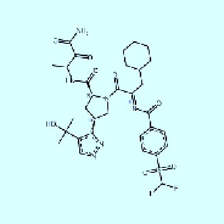 CC(NC(=O)[C@@H]1C[C@H](n2nncc2C(C)(C)O)CN1C(=O)/C(CC1CCCCC1)=N/C(=O)c1ccc(S(=O)(=O)C(F)F)cc1)C(=O)C(N)=O